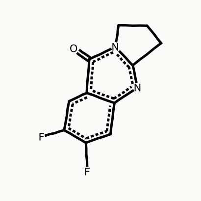 O=c1c2cc(F)c(F)cc2nc2n1CCC2